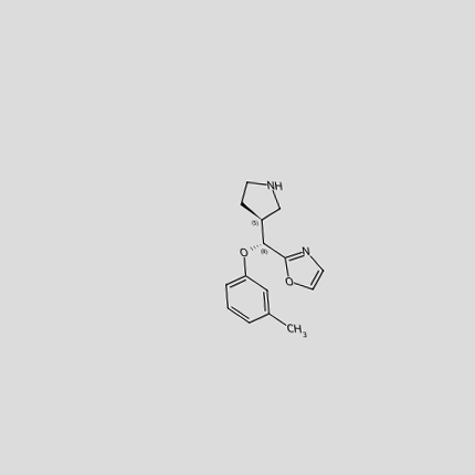 Cc1cccc(O[C@@H](c2ncco2)[C@H]2CCNC2)c1